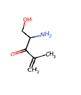 C=C(C)C(=O)C(N)CO